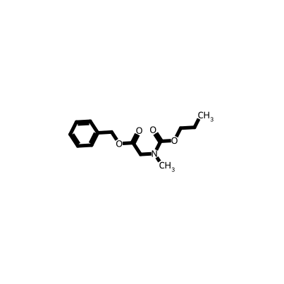 CCCOC(=O)N(C)CC(=O)OCc1ccccc1